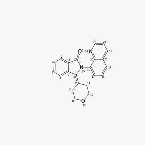 O=C1c2ccccc2C(=C2CCOCC2)N1c1cccc2cccnc12